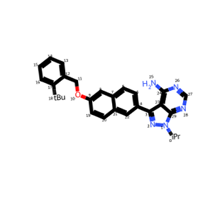 CC(C)n1nc(-c2ccc3cc(OCc4ccccc4C(C)(C)C)ccc3c2)c2c(N)ncnc21